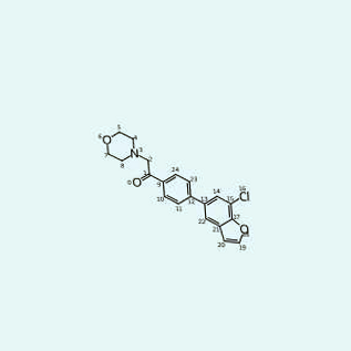 O=C(CN1CCOCC1)c1ccc(-c2cc(Cl)c3occc3c2)cc1